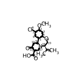 COc1cc2c(cc1Cl)-c1cc(=O)c(C(=O)O)cn1[C@H](C(C)C)CO2